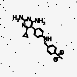 CS(=O)(=O)c1ccc(CNc2ccc(-c3c(N)nc(N)nc3C3CC3)cc2)cc1